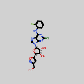 OCc1cc([C@H]2O[C@@H](n3cnc4c(Nc5ccccc5F)nc(Cl)nc43)[C@H](O)[C@@H]2O)on1